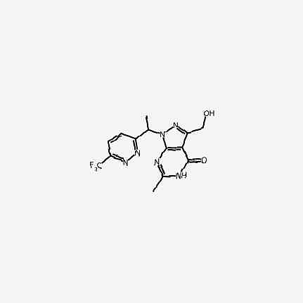 Cc1nc2c(c(CO)nn2C(C)c2ccc(C(F)(F)F)nn2)c(=O)[nH]1